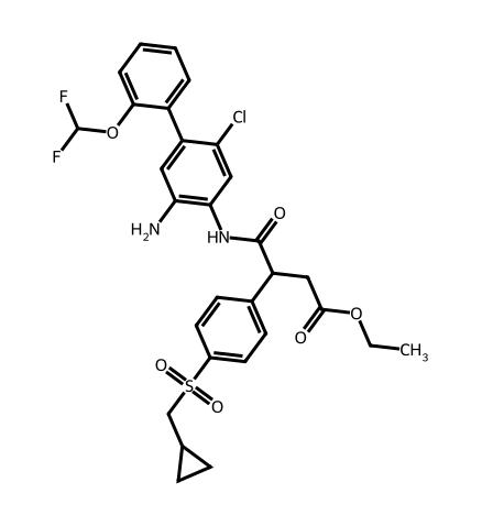 CCOC(=O)CC(C(=O)Nc1cc(Cl)c(-c2ccccc2OC(F)F)cc1N)c1ccc(S(=O)(=O)CC2CC2)cc1